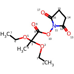 CCOC(C)(OCC)C(=O)ON1C(=O)CCC1=O